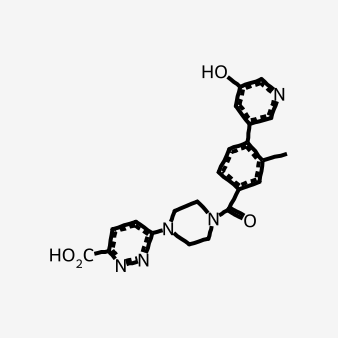 Cc1cc(C(=O)N2CCN(c3ccc(C(=O)O)nn3)CC2)ccc1-c1cncc(O)c1